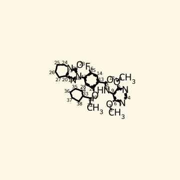 COc1ncnc(OC)c1NC(=O)c1cc(F)c(-n2nc3n(c2=O)CCCC3)cc1O[C@@H](C)C1CCCCC1